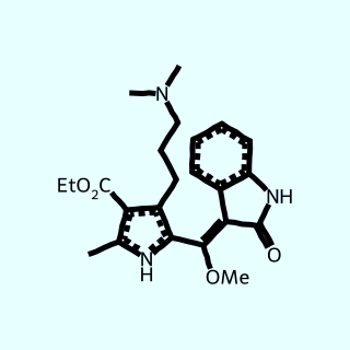 CCOC(=O)c1c(C)[nH]c(C(OC)=C2C(=O)Nc3ccccc32)c1CCCN(C)C